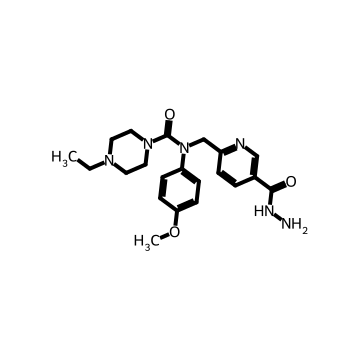 CCN1CCN(C(=O)N(Cc2ccc(C(=O)NN)cn2)c2ccc(OC)cc2)CC1